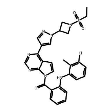 CCS(=O)(=O)N1CC(n2cc(-c3ncnc4c3ccn4C(=O)c3ccccc3Nc3cccc(Cl)c3C)cn2)C1